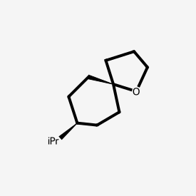 CC(C)[C@H]1CC[C@]2(CCCO2)CC1